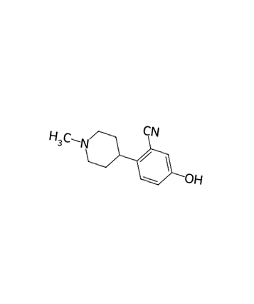 CN1CCC(c2ccc(O)cc2C#N)CC1